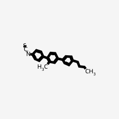 CCCCc1ccc(-c2ccc(-c3ccc(N=C=S)cc3)c(C)c2)cc1